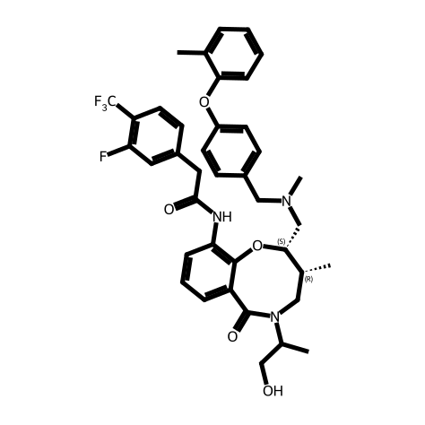 Cc1ccccc1Oc1ccc(CN(C)C[C@H]2Oc3c(NC(=O)Cc4ccc(C(F)(F)F)c(F)c4)cccc3C(=O)N(C(C)CO)C[C@H]2C)cc1